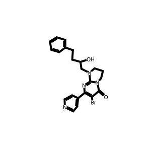 O=c1c(Br)c(-c2ccncc2)nc2n1CCCN2CC(O)CCc1ccccc1